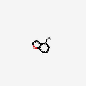 Cc1cccc2occc12